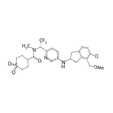 COCc1c(Cl)ccc2c1CC(Nc1ccc([C@H](N(C)C(=O)C3CCS(=O)(=O)CC3)C(F)(F)F)nc1)C2